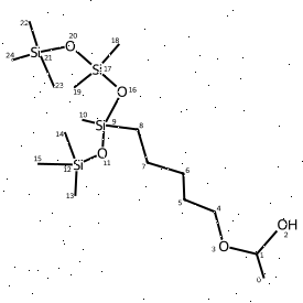 CC(O)OCCCCC[Si](C)(O[Si](C)(C)C)O[Si](C)(C)O[Si](C)(C)C